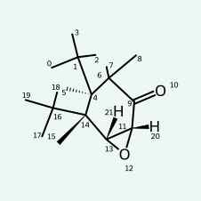 CC(C)(C)[C@@]1(C)C(C)(C)C(=O)[C@@H]2O[C@@H]2[C@]1(C)C(C)(C)C